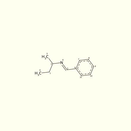 CCC(C)N=Cc1ccccc1